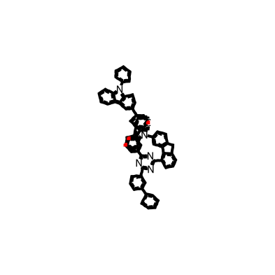 c1ccc(-c2cccc(-c3nc(-c4cccc(-c5ccccc5)c4)nc(-c4cccc5c4-c4cc(-n6c7ccccc7c7cc(-c8ccc9c(c8)c8ccccc8n9-c8ccccc8)ccc76)ccc4C5)n3)c2)cc1